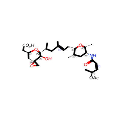 CC(=O)O[C@@H](C)/C=C\C(=O)N[C@@H]1C[C@H](C)[C@H](C/C=C(\C)CC(C)[C@H]2O[C@H](CC(=O)O)C[C@@]3(CO3)[C@@H]2O)O[C@@H]1C